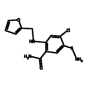 NSc1cc(C(N)=O)c(NCc2ccco2)cc1Cl